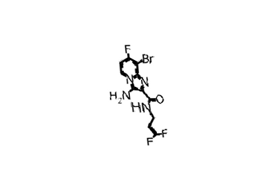 Nc1c(C(=O)NCC=C(F)F)nc2c(Br)c(F)ccn12